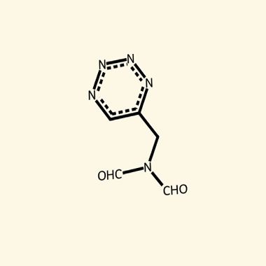 O=CN(C=O)Cc1cnnnn1